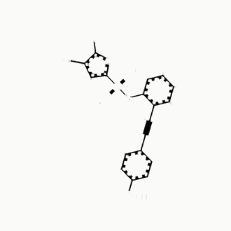 O=C(O)c1ccc(C#Cc2ccccc2NS(=O)(=O)c2cc(Cl)c(Cl)s2)cc1